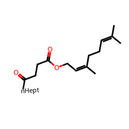 CCCCCCCC(=O)CCC(=O)OCC=C(C)CCC=C(C)C